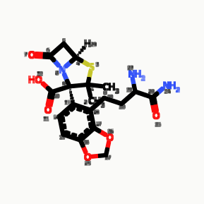 CC1(C)S[C@@H]2CC(=O)N2[C@@]1(C(=O)O)c1ccc2c(c1CCC(N)C(N)=O)OCO2